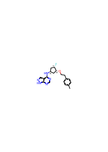 Cc1ccc(CCO[C@@H]2C[C@@H](Nc3ncnc4[nH]ncc34)C[C@@H]2F)cc1